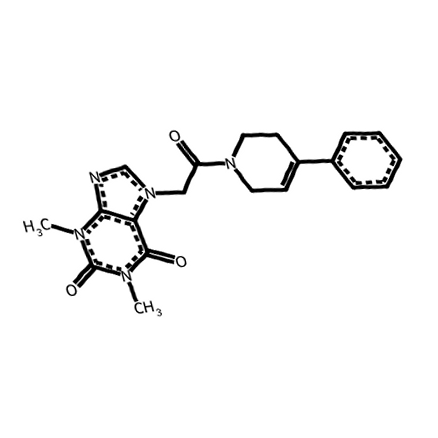 Cn1c(=O)c2c(ncn2CC(=O)N2CC=C(c3ccccc3)CC2)n(C)c1=O